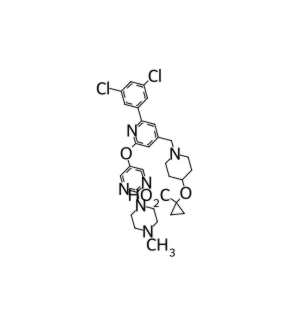 CN1CCN(c2ncc(Oc3cc(CN4CCC(OC5(C(=O)O)CC5)CC4)cc(-c4cc(Cl)cc(Cl)c4)n3)cn2)CC1